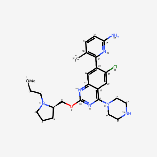 COCCN1CCC[C@@H]1COc1nc(N2CCNCC2)c2cc(Cl)c(-c3nc(N)ccc3C(F)(F)F)cc2n1